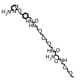 CCOCCOCCNC(=O)CC(N)C(=O)NCCOCCOCCOCCNC(=O)NCc1ccc(COc2nccc(N)n2)cc1